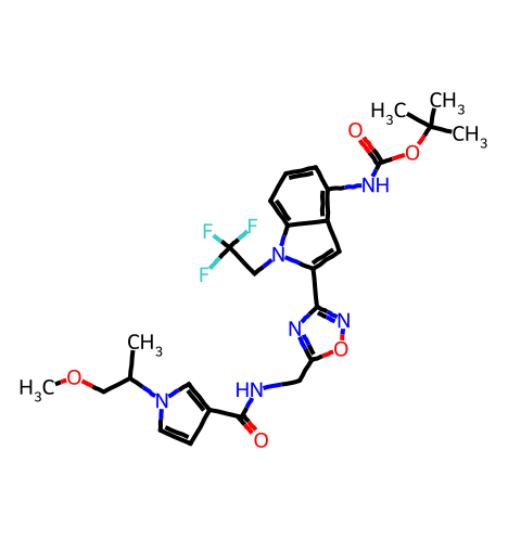 COCC(C)n1ccc(C(=O)NCc2nc(-c3cc4c(NC(=O)OC(C)(C)C)cccc4n3CC(F)(F)F)no2)c1